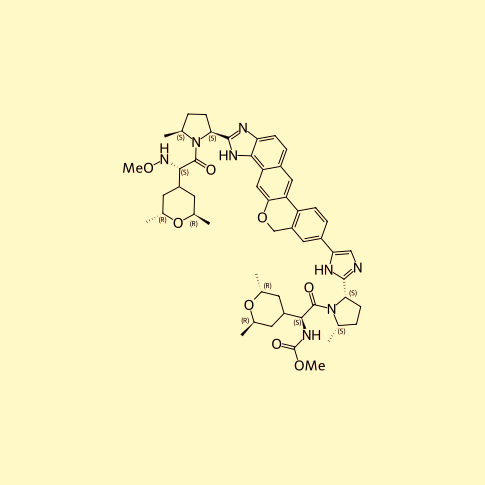 CON[C@H](C(=O)N1[C@@H](C)CC[C@H]1c1nc2ccc3cc4c(cc3c2[nH]1)OCc1cc(-c2cnc([C@@H]3CC[C@H](C)N3C(=O)[C@@H](NC(=O)OC)C3C[C@@H](C)O[C@H](C)C3)[nH]2)ccc1-4)C1C[C@@H](C)O[C@H](C)C1